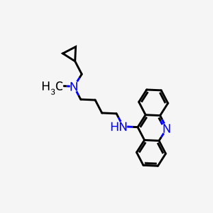 CN(CCCCNc1c2ccccc2nc2ccccc12)CC1CC1